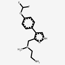 CN(CCN)Cc1n[nH]cc1-c1ccc(OC(F)F)cc1